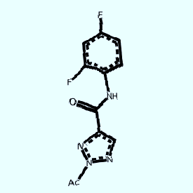 CC(=O)n1ncc(C(=O)Nc2ccc(F)cc2F)n1